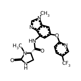 CN1C(=O)NC[C@H]1C(=O)Nc1cc(Oc2ccc(C(F)(F)F)cn2)cc2c1ncn2C